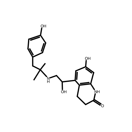 CC(C)(Cc1ccc(O)cc1)NCC(O)c1cc(O)cc2c1CCC(=O)N2